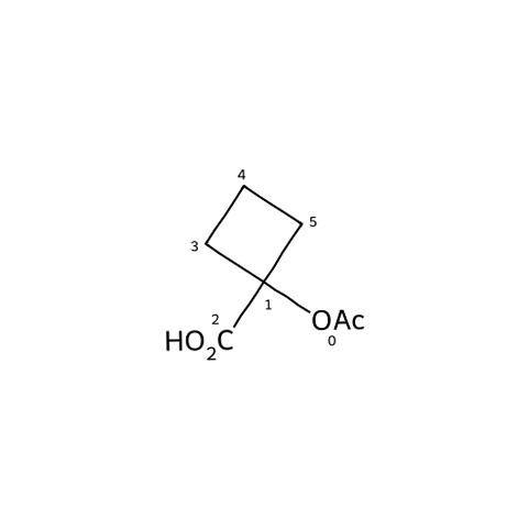 CC(=O)OC1(C(=O)O)CCC1